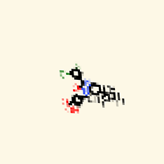 CC(c1ccc(C(=O)O)cc1)N1C(=O)C(c2cc(Cl)cc(Cl)c2)=NC12CCC(C(C)(C)C)CC2